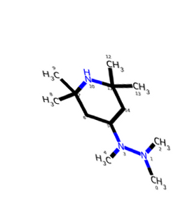 CN(C)N(C)C1CC(C)(C)NC(C)(C)C1